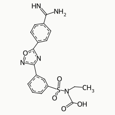 CCN(C(=O)O)S(=O)(=O)c1cccc(-c2noc(-c3ccc(C(=N)N)cc3)n2)c1